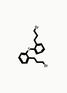 BrCCCc1ccccc1Sc1ccccc1CCCBr